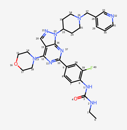 CCNC(=O)Nc1ccc(-c2nc(N3CCOCC3)c3cnn(C4CCN(Cc5cccnc5)CC4)c3n2)cc1F